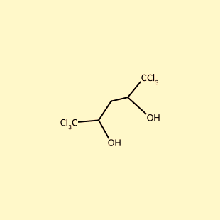 OC(CC(O)C(Cl)(Cl)Cl)C(Cl)(Cl)Cl